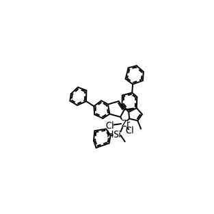 CC1=Cc2cc(-c3ccccc3)ccc2[CH]1[Zr]([Cl])([Cl])([CH]1C(C)=Cc2cc(-c3ccccc3)ccc21)[SiH](C)c1ccccc1